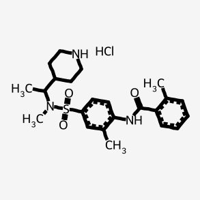 Cc1cc(S(=O)(=O)N(C)C(C)C2CCNCC2)ccc1NC(=O)c1ccccc1C.Cl